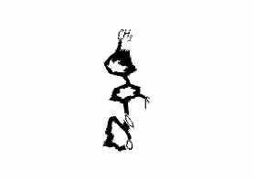 Cc1ccc(-c2ccc(OC3CCCCO3)c(F)c2)cc1